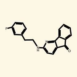 O=C1c2ccccc2-c2nc(NCCc3cccc(F)c3)ccc21